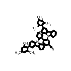 Cc1cc(C)c(-c2ccc3c(c2)c2ccccc2n3-c2ccncc2-c2ccc(C#N)cc2-n2c3ccccc3c3cc(-c4c(C)cc(C)cc4C)ccc32)c(C)c1